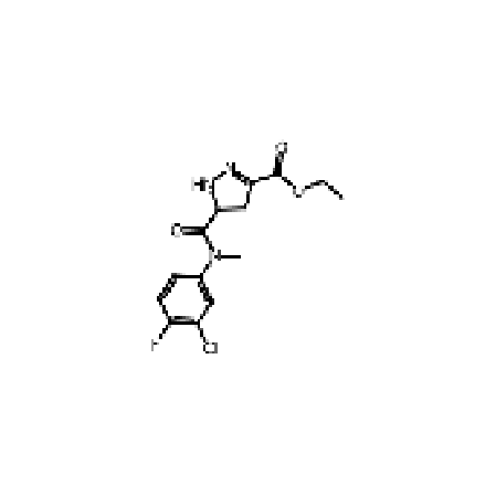 CCOC(=O)C1=NNC(C(=O)N(C)c2ccc(F)c(Cl)c2)C1